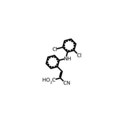 N#CC(=Cc1ccccc1Nc1c(Cl)cccc1Cl)C(=O)O